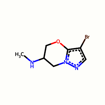 CNC1COc2c(Br)cnn2C1